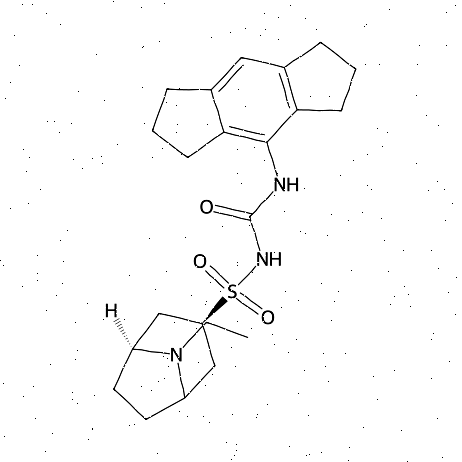 CCN1C2CC[C@H]1C[C@@H](S(=O)(=O)NC(=O)Nc1c3c(cc4c1CCC4)CCC3)C2